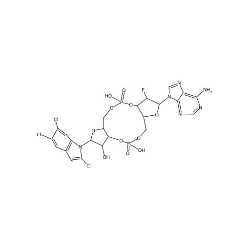 Nc1ncnc2c1ncn2C1OC2COP(=O)(O)OC3C(COP(=O)(O)OC2C1F)OC(n1c(Cl)nc2cc(Cl)c(Cl)cc21)C3O